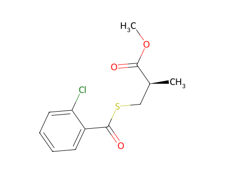 COC(=O)[C@@H](C)CSC(=O)c1ccccc1Cl